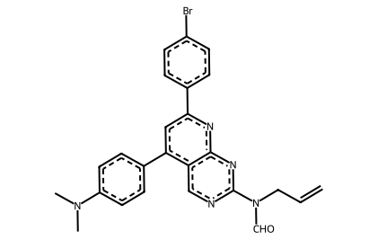 C=CCN(C=O)c1ncc2c(-c3ccc(N(C)C)cc3)cc(-c3ccc(Br)cc3)nc2n1